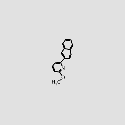 COc1cccc(-c2ccc3ccccc3c2)n1